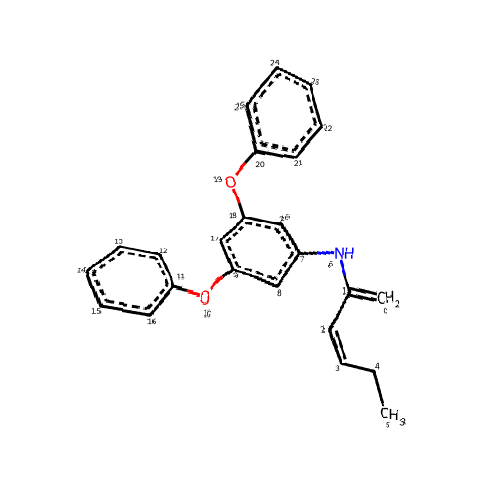 C=C(/C=C\CC)Nc1cc(Oc2ccccc2)cc(Oc2ccccc2)c1